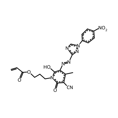 C=CC(=O)OCCCn1c(O)c(N=Nc2ncn(-c3ccc([N+](=O)[O-])cc3)n2)c(C)c(C#N)c1=O